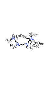 CCCCCCCCCCCCN(CCCCCCCCCCCC)C(CCCCCCCCCCCC)(CCCCCCCCCCCC)CCN(C)CCCCN(C)CCCN(C)C